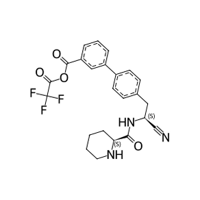 N#C[C@H](Cc1ccc(-c2cccc(C(=O)OC(=O)C(F)(F)F)c2)cc1)NC(=O)[C@@H]1CCCCN1